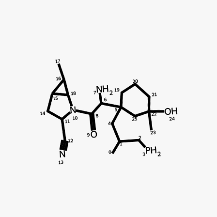 CC(CP)CC1(C(N)C(=O)N2C(C#N)CC3C(C)C32)CCCC(C)(O)C1